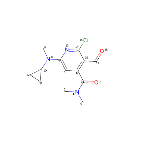 CN(C)C(=O)c1cc(N(C)C2CC2)nc(Cl)c1C=O